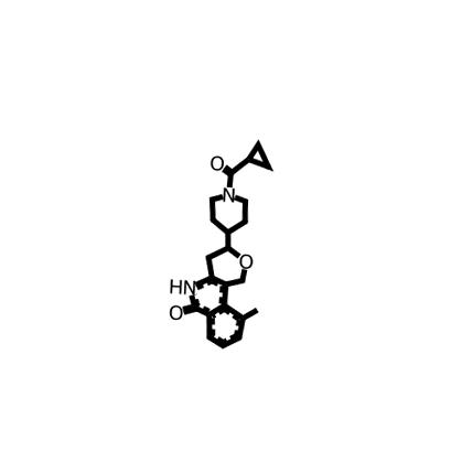 Cc1cccc2c(=O)[nH]c3c(c12)COC(C1CCN(C(=O)C2CC2)CC1)C3